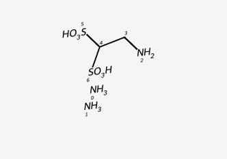 N.N.NCC(S(=O)(=O)O)S(=O)(=O)O